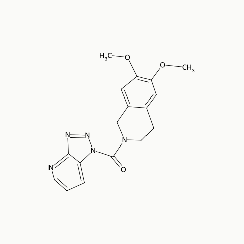 COc1cc2c(cc1OC)CN(C(=O)n1nnc3ncccc31)CC2